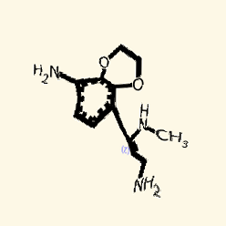 CN/C(=C\CN)c1ccc(N)c2c1OCCO2